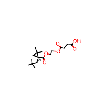 CC(C)(C)C[C@@]1(C(=O)OCCOC(=O)CCC(=O)O)CC1(C)C